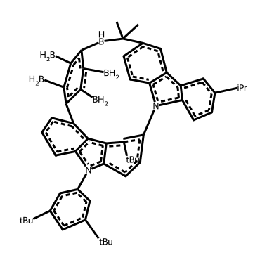 Bc1c(B)c2c(B)c(B)c1BC(C)(C)c1ccc3c(c1)c1cc(C(C)C)ccc1n3-c1ccc3c(c1C(C)(C)C)c1c-2cccc1n3-c1cc(C(C)(C)C)cc(C(C)(C)C)c1